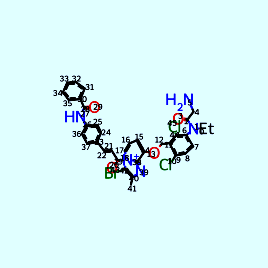 CCN(C(=O)CN)c1ccc(Cl)c(COC2=CC=C[N+]3(C(=O)C=Cc4ccc(NC(=O)c5ccccc5)cc4)C2=NC(C)=C3Br)c1Cl